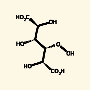 O=C(O)[C@@H](O)[C@@H](O)[C@H](OO)[C@@H](O)C(=O)O